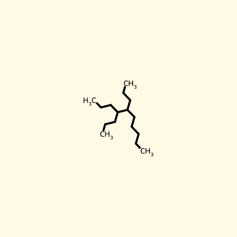 CCCCCC(CCC)C(CCC)CCC